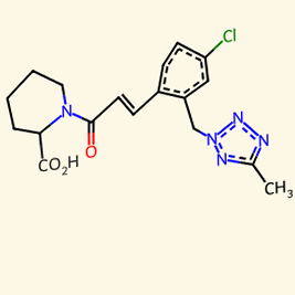 Cc1nnn(Cc2cc(Cl)ccc2/C=C/C(=O)N2CCCCC2C(=O)O)n1